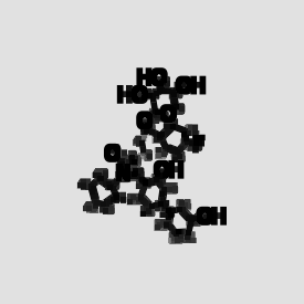 O=C1[C@H](CC[C@H](O[C@@H]2OC=C(O)C(O)C2O)c2ccc(F)cc2)[C@@H](c2ccc(-c3cccc(O)c3)cc2O)N1c1ccccc1